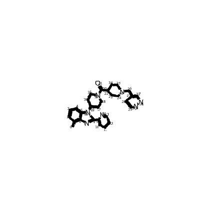 Cc1cccc2c1nc(-c1ccccn1)n2C1CCN(C(=O)C2CCN(Cc3ccnnc3)CC2)CC1